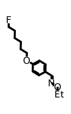 CCO/N=C/c1ccc(OCCCCCCF)cc1